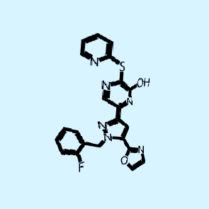 Oc1nc(-c2cc(-c3ncco3)n(Cc3ccccc3F)n2)cnc1Sc1ccccn1